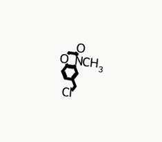 CN1C(=O)COc2ccc(CCl)cc21